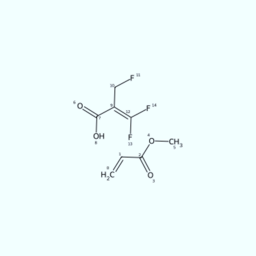 C=CC(=O)OC.O=C(O)C(CF)=C(F)F